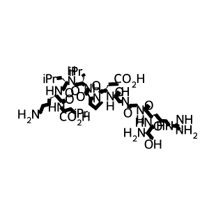 CC(C)C[C@H](NC(=O)[C@H](CCCCN)NC(=O)[C@H](CC(C)C)NC(=O)[C@H](CC(C)C)NC(=O)[C@@H]1CCCN1C(=O)[C@H](CCC(=O)O)NC(=O)CNC(=O)CNC(=O)[C@H](CCCNC(=N)N)NC(=O)[C@@H](N)CO)C(=O)O